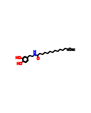 CCCCCCCCCCCCCCCCCCCCCC(=O)NCCc1ccc(O)c(O)c1